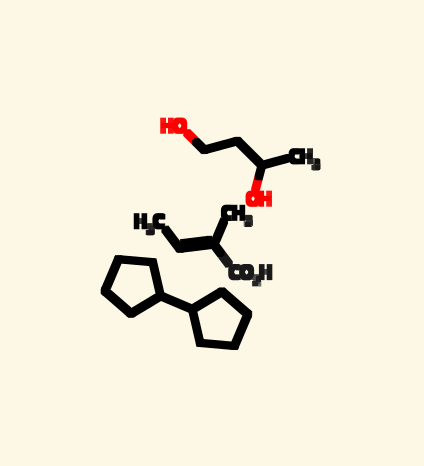 C1CCC(C2CCCC2)C1.CC(O)CCO.CC=C(C)C(=O)O